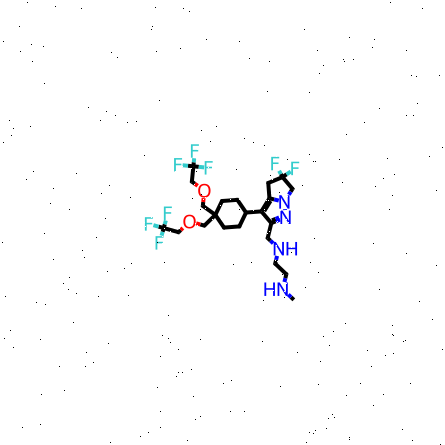 CNCCNCc1nn2c(c1C1CCC(COCC(F)(F)F)(COCC(F)(F)F)CC1)CC(F)(F)C2